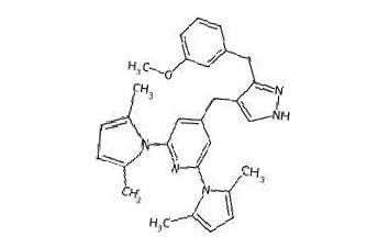 COc1cccc(Cc2n[nH]cc2Cc2cc(-n3c(C)ccc3C)nc(-n3c(C)ccc3C)c2)c1